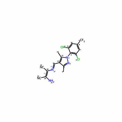 Cc1nn(-c2c(Cl)cc(C(F)(F)F)cc2Cl)c(C)c1/C=N/C(C#N)=C(\N)C#N